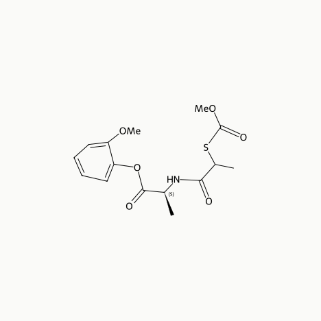 COC(=O)SC(C)C(=O)N[C@@H](C)C(=O)Oc1ccccc1OC